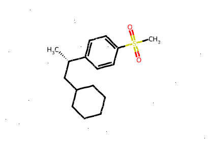 C[C@@H](CC1CCCCC1)c1ccc(S(C)(=O)=O)cc1